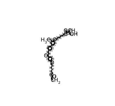 C=CC(=O)OCCCCCCOc1ccc(C(=O)/C=C/c2ccc(-c3ccc(OCCCCCCOC(=O)C(=C)CO)c(CC)c3)cc2)cc1